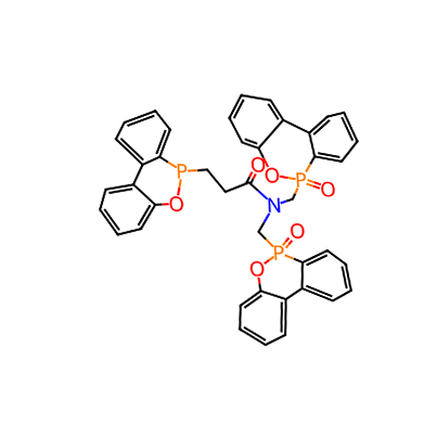 O=C(CCP1Oc2ccccc2-c2ccccc21)N(CP1(=O)Oc2ccccc2-c2ccccc21)CP1(=O)Oc2ccccc2-c2ccccc21